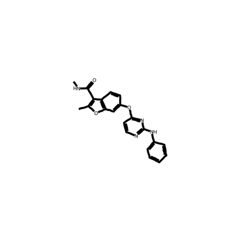 CNC(=O)c1c(C)oc2cc(Oc3ccnc(Nc4ccccc4)n3)ccc12